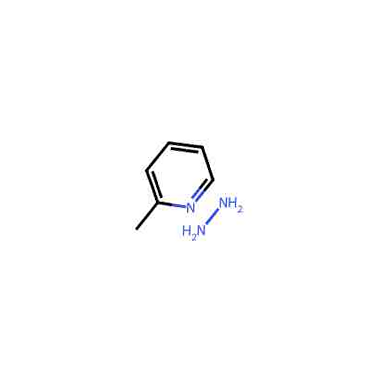 Cc1ccccn1.NN